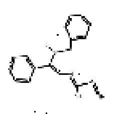 N=N/C(S)=N/C=C(/c1ccccc1)[S+]([O-])Cc1ccccc1